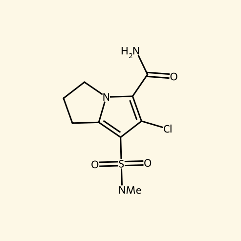 CNS(=O)(=O)c1c(Cl)c(C(N)=O)n2c1CCC2